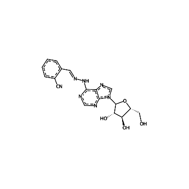 N#Cc1ccccc1C=NNc1ncnc2c1ncn2C1O[C@H](CO)[C@@H](O)[C@@H]1O